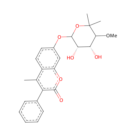 COC1[C@H](O)[C@H](O)C(Oc2ccc3c(C)c(-c4ccccc4)c(=O)oc3c2)OC1(C)C